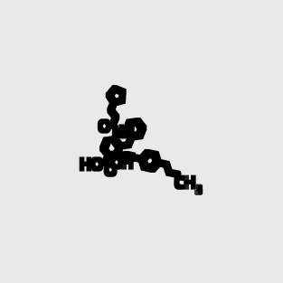 CCCCc1ccc(C#CC2(O)C(Cc3ccccc3)=C(NC(=O)CCC3CCCC3)C=CC2C(=O)O)cc1